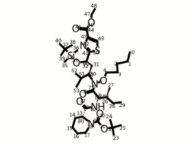 CCCCCON(C(=O)[C@@H](NC(=O)[C@H]1CCCCN1C(=O)OC(C)(C)C)[C@@H](C)CC)[C@H](C[C@@H](O[Si](C)(C)C(C)(C)C)c1nc(C(=O)OCC)cs1)C(C)C